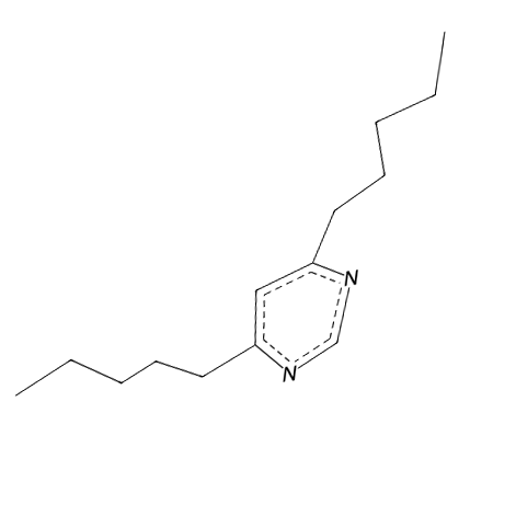 CCCCCc1cc(CCCCC)ncn1